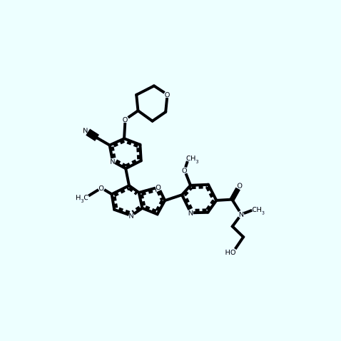 COc1cc(C(=O)N(C)CCO)cnc1-c1cc2ncc(OC)c(-c3ccc(OC4CCOCC4)c(C#N)n3)c2o1